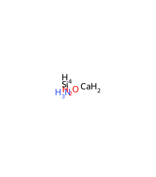 N.O.[CaH2].[SiH4]